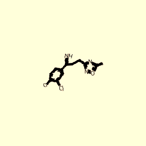 Cc1nc(CCC(=N)c2ccc(Cl)c(Cl)c2)no1